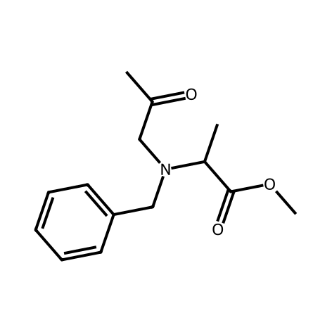 COC(=O)C(C)N(CC(C)=O)Cc1ccccc1